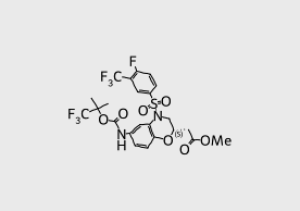 COC(=O)C[C@H]1CN(S(=O)(=O)c2ccc(F)c(C(F)(F)F)c2)c2cc(NC(=O)OC(C)(C)C(F)(F)F)ccc2O1